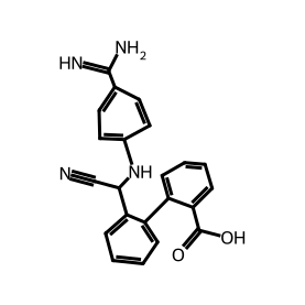 N#CC(Nc1ccc(C(=N)N)cc1)c1ccccc1-c1ccccc1C(=O)O